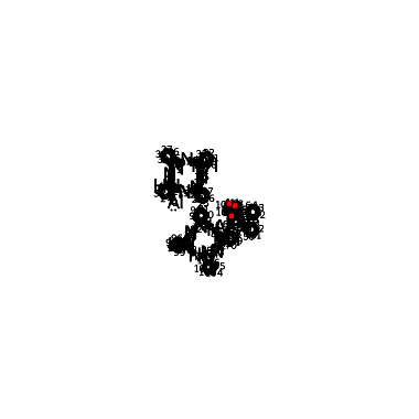 [Al][c]1cccc2c3nc4nc(nc5[nH]c(nc6nc(nc([nH]3)c12)-c1ccccc1-6)c1ccccc51)-c1ccccc1-4.c1ccc([SiH](O[Si](c2ccccc2)(c2ccccc2)c2ccccc2)[Al][c]2cccc3c4nc5nc(nc6[nH]c(nc7nc(nc([nH]4)c23)-c2ccccc2-7)c2ccccc62)-c2ccccc2-5)cc1